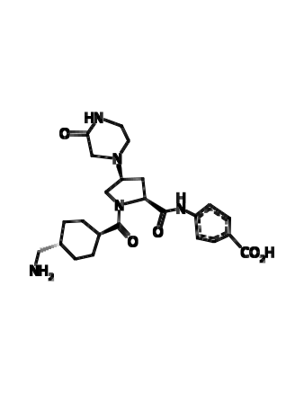 NC[C@H]1CC[C@H](C(=O)N2C[C@@H](N3CCNC(=O)C3)C[C@H]2C(=O)Nc2ccc(C(=O)O)cc2)CC1